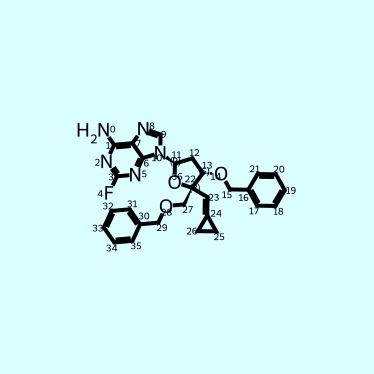 Nc1nc(F)nc2c1ncn2[C@H]1C[C@H](OCc2ccccc2)[C@@](C=C2CC2)(COCc2ccccc2)O1